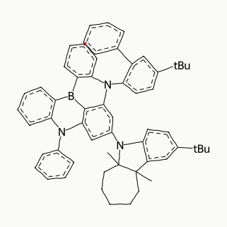 CC(C)(C)c1ccc(N2c3ccccc3B3c4ccccc4N(c4ccccc4)c4cc(N5c6ccc(C(C)(C)C)cc6C6(C)CCCCCC56C)cc2c43)c(-c2ccccc2)c1